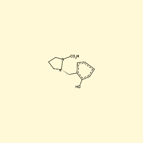 O=C(O)N1CCC[C@H]1Cc1ccccc1O